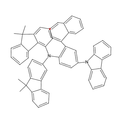 CC1(C)c2ccccc2-c2cc(N(c3ccc(-n4c5ccccc5c5ccccc54)cc3-c3cccc4ccccc34)c3cccc4c3-c3ccccc3C4(C)C)ccc21